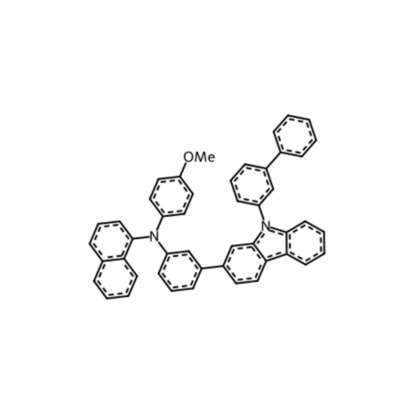 COc1ccc(N(c2cccc(-c3ccc4c5ccccc5n(-c5cccc(-c6ccccc6)c5)c4c3)c2)c2cccc3ccccc23)cc1